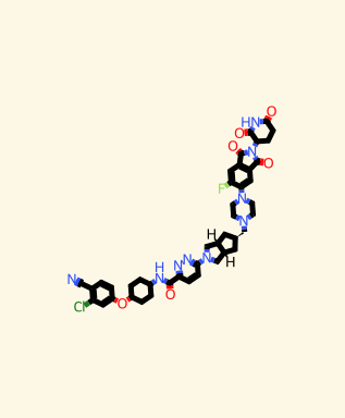 N#Cc1ccc(OC2CCC(NC(=O)c3ccc(N4C[C@H]5C[C@H](CN6CCN(c7cc8c(cc7F)C(=O)N(C7CCC(=O)NC7=O)C8=O)CC6)C[C@H]5C4)nn3)CC2)cc1Cl